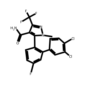 Cn1nc(C(F)(F)F)c(C(N)=O)c1-c1ccc(F)cc1-c1ccc(Cl)c(Cl)c1